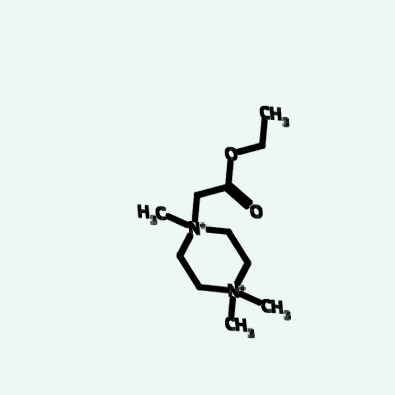 CCOC(=O)C[N+]1(C)CC[N+](C)(C)CC1